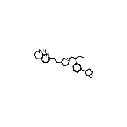 CCC(CN1CCC(CCc2ccc3c(n2)NCCC3)C1)c1cccc(C2CCOC2)c1